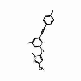 Cc1cc(C#Cc2ccc(F)cc2)nc(Oc2cc(C(F)(F)F)nn2C)c1